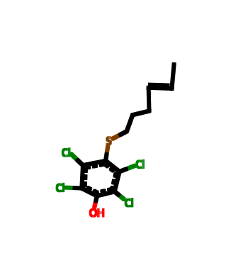 C/C=C/CCCSc1c(Cl)c(Cl)c(O)c(Cl)c1Cl